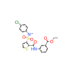 CCOC(=O)c1cccc(NC(=O)c2sccc2S(=O)(=O)N(C)c2ccc(Cl)cc2)c1